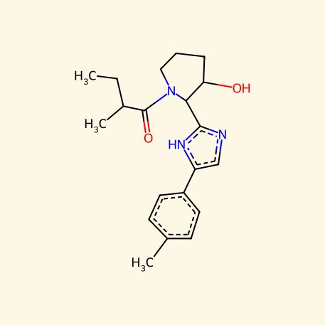 CCC(C)C(=O)N1CCCC(O)C1c1ncc(-c2ccc(C)cc2)[nH]1